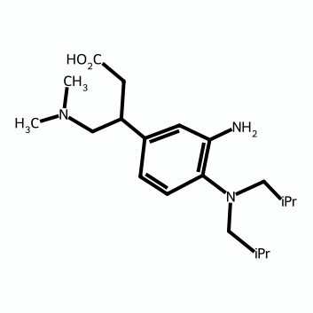 CC(C)CN(CC(C)C)c1ccc(C(CC(=O)O)CN(C)C)cc1N